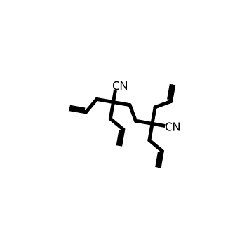 C=CCC(C#N)(CC=C)CCC(C#N)(CC=C)CC=C